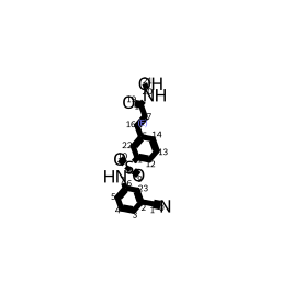 N#Cc1cccc(NS(=O)(=O)c2cccc(/C=C/C(=O)NO)c2)c1